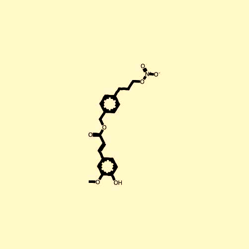 COc1cc(/C=C/C(=O)OCc2ccc(CCCO[N+](=O)[O-])cc2)ccc1O